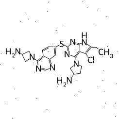 CCc1[nH]c2nc(Sc3ccc4c(N5CC(N)C5)ncnc4c3)nc(N3CCC(N)C3)c2c1Cl